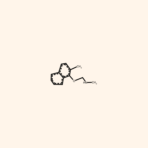 CNCOc1c(C)ccc2ccccc12